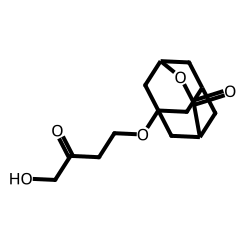 O=C(CO)CCOC12CC3CC(C1)OC(=O)C(C3)C2